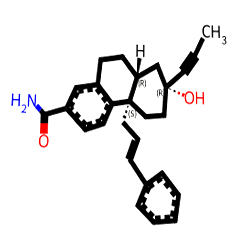 CC#C[C@@]1(O)CC[C@@]2(CC=Cc3ccccc3)c3ccc(C(N)=O)cc3CC[C@@H]2C1